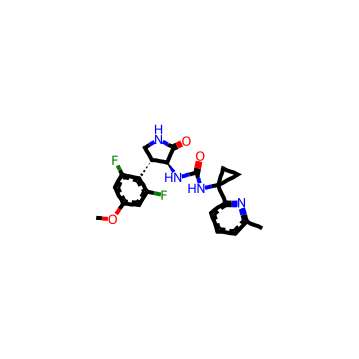 COc1cc(F)c([C@@H]2CNC(=O)[C@H]2NC(=O)NC2(c3cccc(C)n3)CC2)c(F)c1